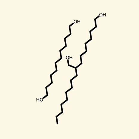 CCCCCCCCCC(CO)CCCCCCCCO.OCCCCCCCCCCCCO